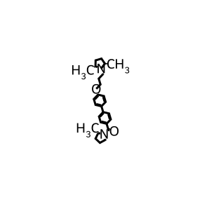 CC1CCCN1C(=O)c1ccc(-c2ccc(OCCCN3[C@H](C)CC[C@H]3C)cc2)cc1